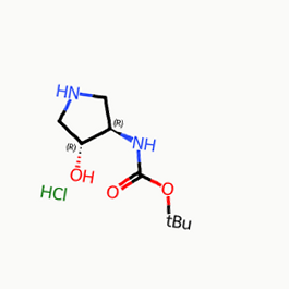 CC(C)(C)OC(=O)N[C@@H]1CNC[C@H]1O.Cl